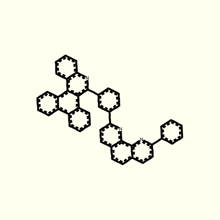 c1ccc(-c2ccc3ccc4ccc(-c5cccc(-c6nc7ccccc7c7c8ccccc8c8ccccc8c67)c5)nc4c3n2)cc1